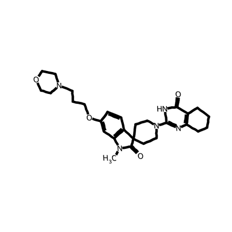 CN1C(=O)C2(CCN(c3nc4c(c(=O)[nH]3)CCCC4)CC2)c2ccc(OCCCN3CCOCC3)cc21